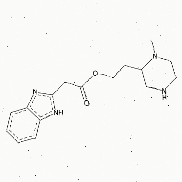 CN1CCNCC1CCOC(=O)Cc1nc2ccccc2[nH]1